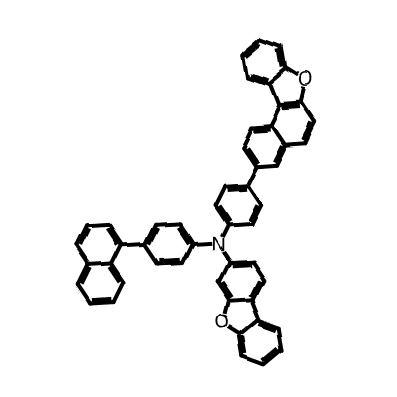 c1ccc2c(-c3ccc(N(c4ccc(-c5ccc6c(ccc7oc8ccccc8c76)c5)cc4)c4ccc5c(c4)oc4ccccc45)cc3)cccc2c1